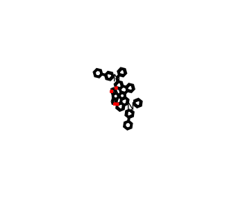 c1ccc(N(c2ccc(C3CCCCC3)cc2)c2ccc3c4c(c5ccccc5c3c2)-c2cc(N(c3ccccc3)c3ccc(C5CCCCC5)cc3)c3ccccc3c2C42c3ccccc3-c3ccccc32)cc1